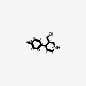 OCC1CNC=CC1c1ccc(F)cc1